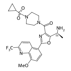 COc1ccc(-c2nc(C(=O)N3CCN(S(=O)(=O)C4CC4)CC3)c([C@H](C)N)o2)c2ccc(C(F)(F)F)nc12